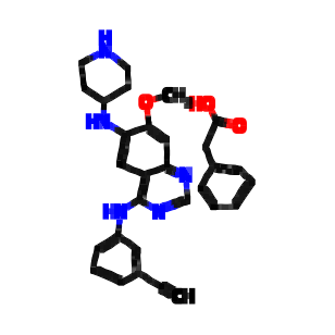 C#Cc1cccc(Nc2ncnc3cc(OC)c(NC4CCNCC4)cc23)c1.O=C(O)Cc1ccccc1